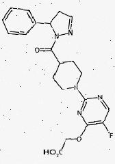 O=C(O)COc1nc(N2CCC(C(=O)N3N=CCC3c3ccccc3)CC2)ncc1F